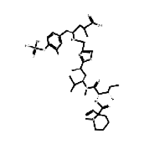 C=CC1(C(=O)N[C@H](C(=O)N(C)[C@H](C[C@@H](C)c2nc(CN[C@@H](Cc3ccc(OP(=O)(O)O)c(C)c3)CC(C)C(=O)O)cs2)C(C)C)[C@@H](C)CC)CCCCN1C